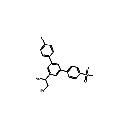 CC(=O)C(CC(C)C)c1cc(-c2ccc(C(F)(F)F)cc2)cc(-c2ccc(S(C)(=O)=O)cc2)c1